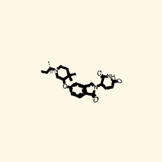 CC[C@H](C)N1CCC(C)(C)C(Oc2ccc3c(c2)CN(C2CCC(=O)NC2=O)C3=O)C1